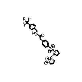 O=C(Cc1ccc(S(=O)(=O)N2CCC[C@@H]2CN2CC=CS2(=O)=O)cc1)NCc1ccc(C(F)(F)F)cc1